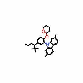 CCCC(c1ccc(OC2CCCCO2)c(-n2c3cc(C)ccc3c3ccc(C)cc32)c1)C(C)(C)C